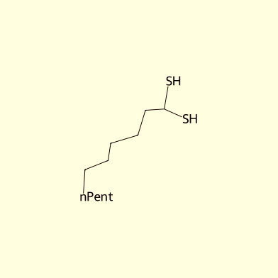 CCCCCCCCCCC(S)S